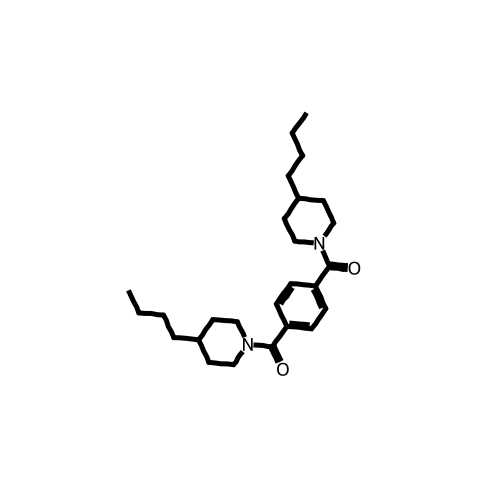 CCCCC1CCN(C(=O)c2ccc(C(=O)N3CCC(CCCC)CC3)cc2)CC1